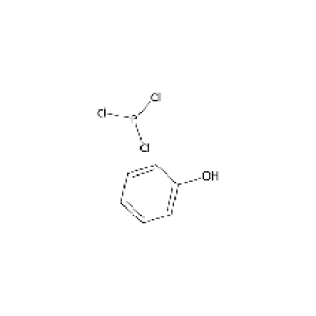 ClP(Cl)Cl.Oc1ccccc1